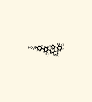 CN(C(=O)CN(CC#N)c1ccc(Cl)c(Cl)c1)C(c1ccc(-c2ccc(C(=O)O)cc2)cc1)N1CCCC1